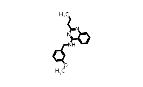 CCCc1nc(NCc2cccc(OC)c2)c2ccccc2n1